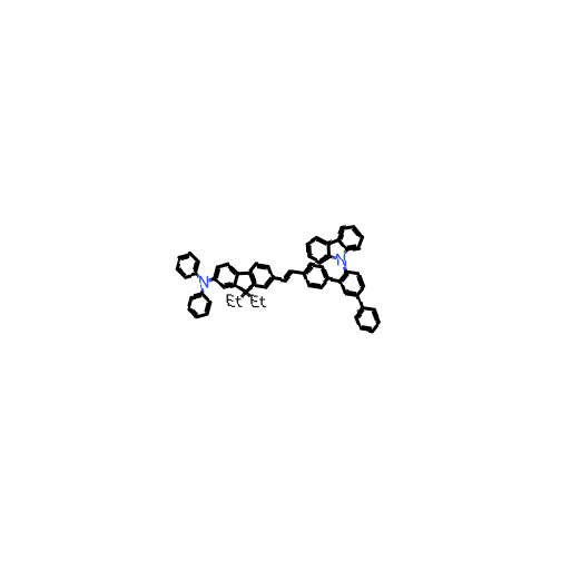 CCC1(CC)c2cc(/C=C/c3ccc(-c4cc(-c5ccccc5)ccc4-n4c5ccccc5c5ccccc54)cc3)ccc2-c2ccc(N(c3ccccc3)c3ccccc3)cc21